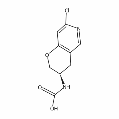 O=C(O)N[C@H]1COc2cc(Cl)ncc2C1